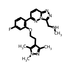 CNCc1nnc2ccc(-c3ccc(F)cc3OCCc3c(C)nn(C)c3C)nn12